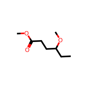 CCC(CCC(=O)OC)OC